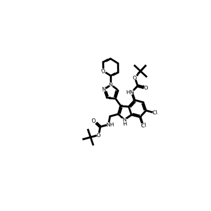 CC(C)(C)OC(=O)NCc1[nH]c2c(Cl)c(Cl)cc(NC(=O)OC(C)(C)C)c2c1-c1cnn(C2CCCCO2)c1